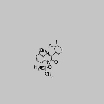 C[SiH](C)On1c(=O)c(-c2cccc(I)c2F)nc2c(C(C)(C)C)cccc21